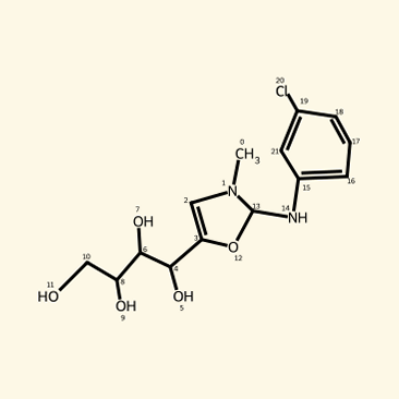 CN1C=C(C(O)C(O)C(O)CO)OC1Nc1cccc(Cl)c1